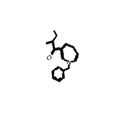 CCC(C)C(=O)C1=CN(Cc2ccccc2)C=CCC1